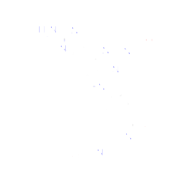 CN(CCN1CCOCC1)C(=O)c1ccc(-n2ccc3c(-c4cnc(N)nc4)nc(N4CCOCC4)nc32)cc1